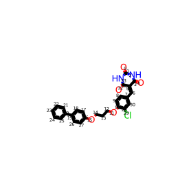 O=C1NC(=O)C(=Cc2ccc(OCCCOc3ccc(-c4ccccc4)cc3)c(Cl)c2)C(=O)N1